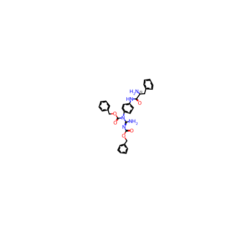 NC(=NC(=O)OCc1ccccc1)N(C(=O)OCc1ccccc1)c1ccc(NC(=O)[C@@H](N)Cc2ccccc2)cc1